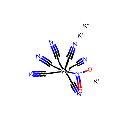 N#[C][Fe-3]([C]#N)([C]#N)([C]#N)([C]#N)([C]#N)[N+](=O)[O-].[K+].[K+].[K+]